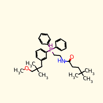 COCC(C)(C)Cc1cccc([PH](CCNC(=O)CCC(C)(C)C)(c2ccccc2)c2ccccc2)c1